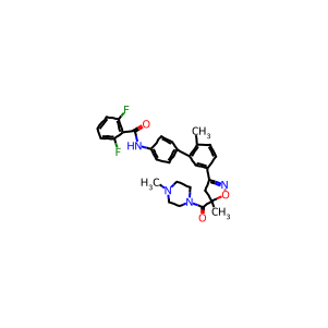 Cc1ccc(C2=NOC(C)(C(=O)N3CCN(C)CC3)C2)cc1-c1ccc(NC(=O)c2c(F)cccc2F)cc1